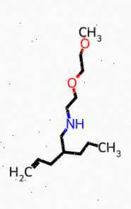 C=CCC(CCC)CNCCOCCOC